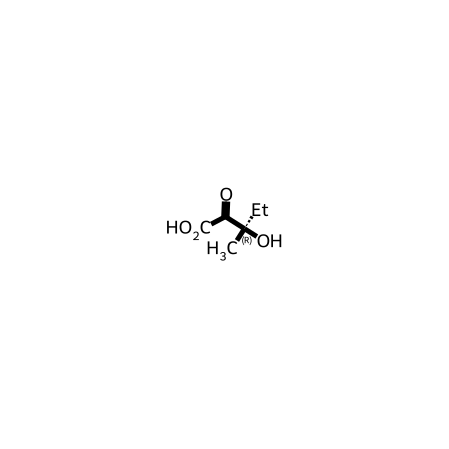 CC[C@@](C)(O)C(=O)C(=O)O